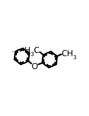 Cc1ccc(Oc2cc[c]cc2)c(C)c1